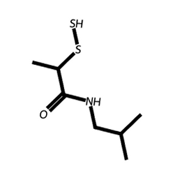 CC(C)CNC(=O)C(C)SS